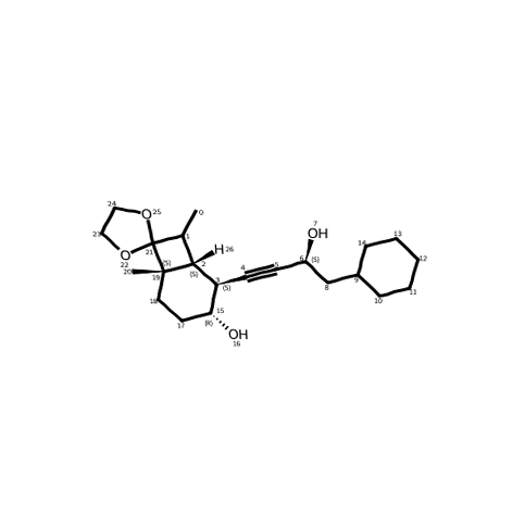 CC1[C@@H]2[C@@H](C#C[C@@H](O)CC3CCCCC3)[C@H](O)CC[C@]2(C)C12OCCO2